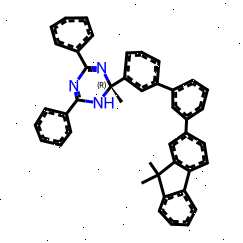 CC1(C)c2ccccc2-c2ccc(-c3cccc(-c4cccc([C@@]5(C)N=C(c6ccccc6)N=C(c6ccccc6)N5)c4)c3)cc21